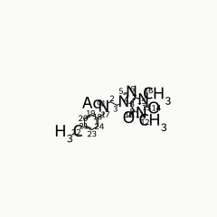 CC(=O)N(CCn1cnc2c1c(=O)n(C)c(=O)n2C)Cc1ccc(C)cc1